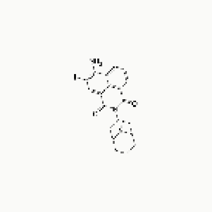 CN1C2CCCC1CC(N1C(=O)c3cccc4c(N)c(I)cc(c34)C1=O)C2